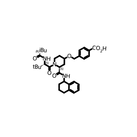 CC[C@@H](C)C(=O)N[C@H](C(=O)N1CCC(OCc2ccc(C(=O)O)cc2)C[C@H]1C(=O)NC1CCCc2ccccc21)C(C)(C)C